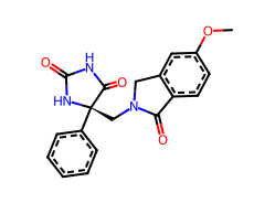 COc1ccc2c(c1)CN(C[C@@]1(c3ccccc3)NC(=O)NC1=O)C2=O